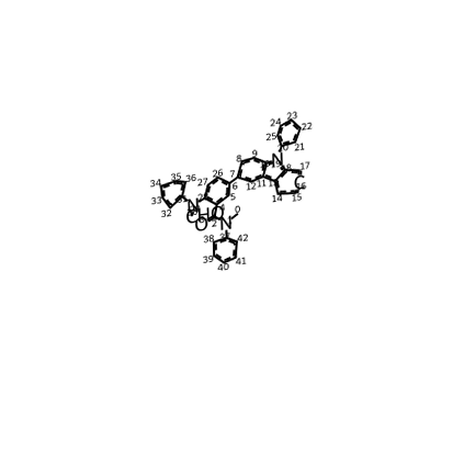 CN(C(=O)c1cc(-c2ccc3c(c2)c2ccccc2n3-c2ccccc2)ccc1N(C=O)c1ccccc1)c1ccccc1